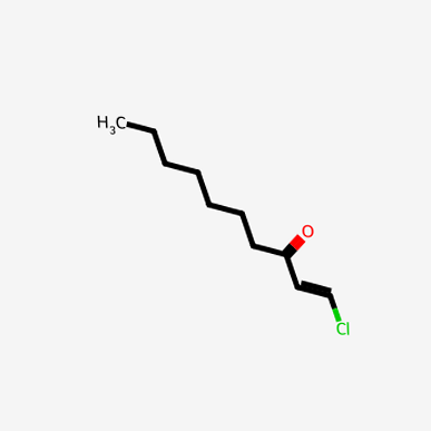 CCCCCCCC(=O)C=CCl